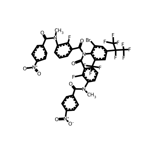 CN(C(=O)c1ccc([N+](=O)[O-])cc1)c1cccc(C(=O)N(C(=O)c2cccc(N(C)C(=O)c3ccc([N+](=O)[O-])cc3)c2F)c2c(Br)cc(C(F)(C(F)(F)F)C(F)(F)F)cc2C(F)(F)F)c1F